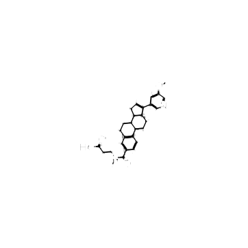 COc1cncc(C2=CCC3C4CCc5cc(C(=O)N(C)CCC(=O)O)ccc5C4CC[C@]23C)c1